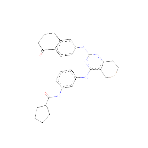 O=C1CCCc2cc(Nc3nc4c(c(Nc5cccc(NC(=O)C6CCCC6)c5)n3)CSCC4)ccc21